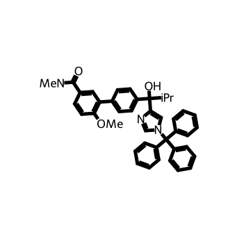 CNC(=O)c1ccc(OC)c(-c2ccc(C(O)(c3cn(C(c4ccccc4)(c4ccccc4)c4ccccc4)cn3)C(C)C)cc2)c1